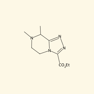 CCOC(=O)c1nnc2n1CCN(C)C2C